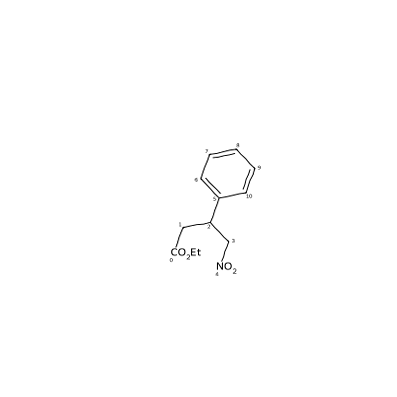 CCOC(=O)CC(C[N+](=O)[O-])c1ccccc1